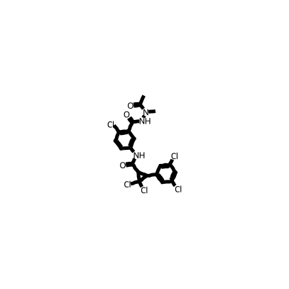 CC(=O)N(C)NC(=O)c1cc(NC(=O)C2C(c3cc(Cl)cc(Cl)c3)C2(Cl)Cl)ccc1Cl